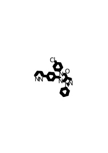 O=c1c2cnn(-c3ccccc3)c2nc(-c2ccc(-c3cccnn3)cc2)n1-c1ccc(Cl)cc1